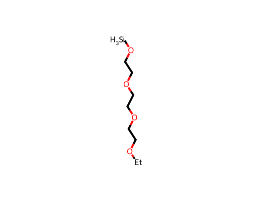 CCOCCOCCOCCO[SiH3]